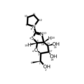 C[C@H](O)[C@H]1O[C@@H]2SC(N3CCCC3)=N[C@@H]2[C@@H](O)[C@@H]1O